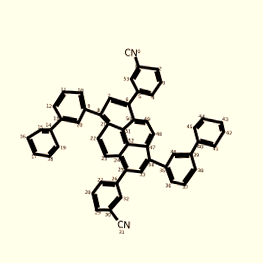 [C-]#[N+]c1cccc(-c2cc(-c3cccc(-c4ccccc4)c3)c3ccc4c(-c5cccc(C#N)c5)cc(-c5cccc(-c6ccccc6)c5)c5ccc2c3c45)c1